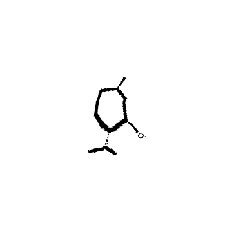 CC(C)[C@@H]1CC[C@@H](C)C[C@H]1[O]